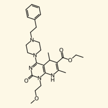 CCOC(=O)C1=C(C)Nc2c(c(N3CCN(CCc4ccccc4)CC3)nc(=O)n2CCOC)C1C